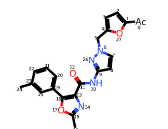 CC(=O)c1ccc(Cn2ccc(NC(=O)c3nc(C)oc3-c3cccc(C)c3)n2)o1